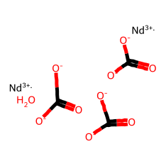 O.O=C([O-])[O-].O=C([O-])[O-].O=C([O-])[O-].[Nd+3].[Nd+3]